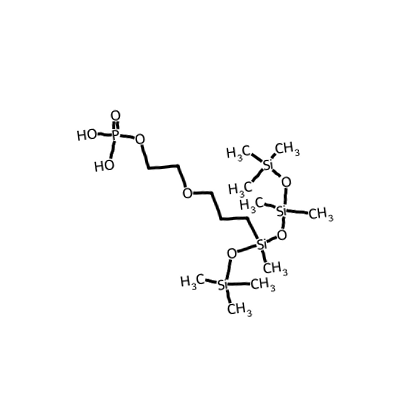 C[Si](C)(C)O[Si](C)(C)O[Si](C)(CCCOCCOP(=O)(O)O)O[Si](C)(C)C